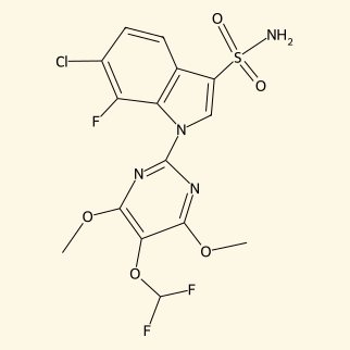 COc1nc(-n2cc(S(N)(=O)=O)c3ccc(Cl)c(F)c32)nc(OC)c1OC(F)F